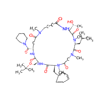 CC(C)C[C@H]1C(=O)N(C)CC(=O)N(C)[C@@H](Cc2ccccc2)C(=O)N[C@@H](COC(C)(C)C)C(=O)N[C@H](C(=O)N2CCCCC2)CC(=O)N(C)CCCC(=O)N[C@@H]([C@@H](C)O)C(=O)N1C